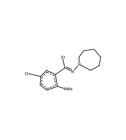 CC/C(=N\N1CCCCCC1)c1cc(Cl)ccc1NC